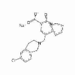 O=C([O-])c1cc(CN2CCc3cc(Cl)ccc3C2)c2ccccn2c1=O.[Na+]